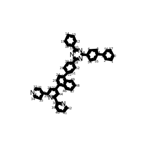 c1ccc(-c2ccc(-c3nc(-c4ccccc4)nc(-c4ccc(-c5ccc(-c6cc(-c7ccncc7)nc(-c7ccccn7)c6)c6ccccc56)cc4)n3)cc2)cc1